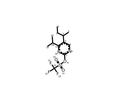 CCC(C)c1cnc(OS(=O)(=O)C(F)(F)F)nc1C(C)C